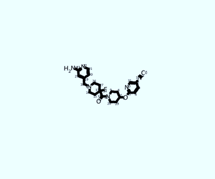 [C-]#[N+]c1ccc(OC2CCN(C(=O)C3(F)CCN(Cc4ccnc(N)c4)CC3)CC2)nc1